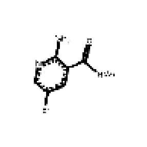 CNC(=O)c1cc(Br)cnc1N